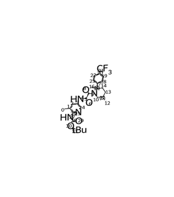 Cc1cc(NC(=O)C(=O)N2C[C@@H](C)CC[C@@]2(C)c2ccc(C(F)(F)F)cc2)cnc1NC(=O)OC(C)(C)C